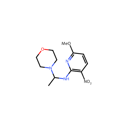 COc1ccc([N+](=O)[O-])c(NC(C)N2CCOCC2)n1